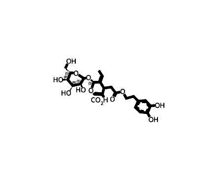 CC=C1C(CC(=O)OCCc2ccc(O)c(O)c2)C(C(=O)O)=CO[C@H]1OC1O[C@@H](CO)[C@H](O)[C@@H](O)[C@@H]1O